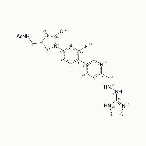 CC(=O)NCC1CN(c2ccc(-c3ccc(CNNC4=NCCN4)nc3)c(F)c2)C(=O)O1